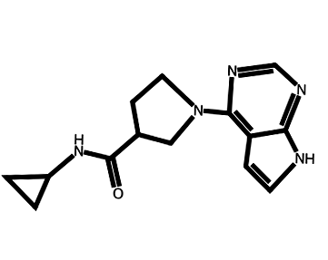 O=C(NC1CC1)C1CCN(c2ncnc3[nH]ccc23)C1